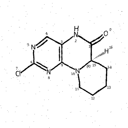 O=C1Nc2cnc(Cl)nc2N2CCCC[C@H]12